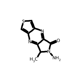 CC1c2nc3cscc3nc2C(=O)N1N